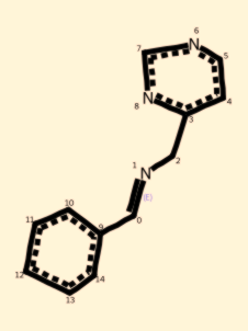 C(=N\Cc1ccncn1)/c1ccccc1